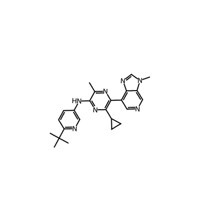 Cc1nc(-c2cncc3c2ncn3C)c(C2CC2)nc1Nc1ccc(C(C)(C)C)nc1